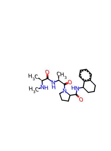 CN[C@@H](C)C(=O)N[C@@H](C)C(=O)N1CCCC1C(=O)NC1CCCc2ccccc21